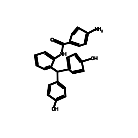 Nc1ccc(C(=O)Nc2ccccc2C(c2ccc(O)cc2)c2ccc(O)cc2)cc1